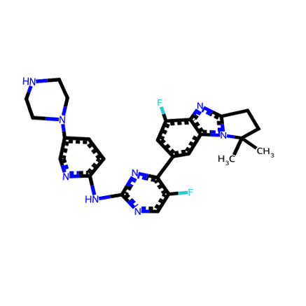 CC1(C)CCc2nc3c(F)cc(-c4nc(Nc5ccc(N6CCNCC6)cn5)ncc4F)cc3n21